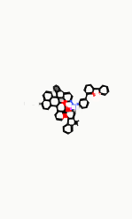 CC(C)(C)c1cc2c(c3ccccc13)-c1ccc(C(C)(C)C)c3cccc(c13)C21c2ccccc2-c2ccc(N(c3cccc(-c4cccc5c4oc4ccccc45)c3)c3ccc4c(c3)C(C)(C)c3ccccc3-4)cc21